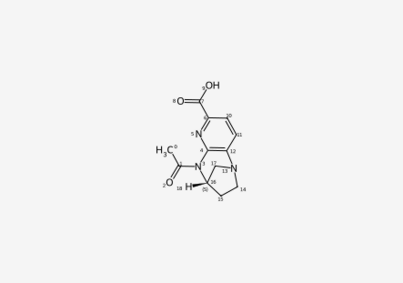 CC(=O)N1c2nc(C(=O)O)ccc2N2CC[C@H]1C2